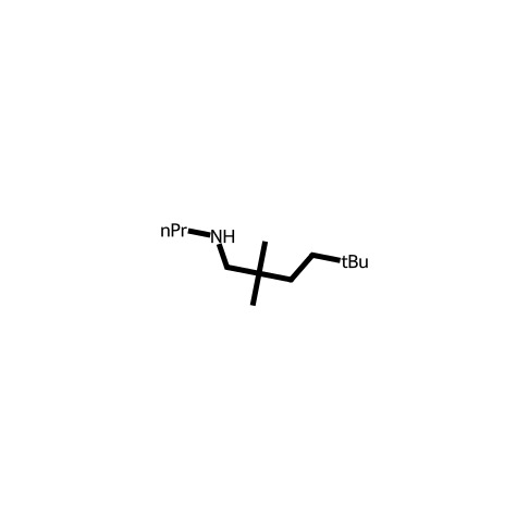 CCCNCC(C)(C)CCC(C)(C)C